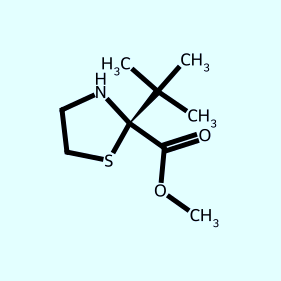 COC(=O)[C@@]1(C(C)(C)C)NCCS1